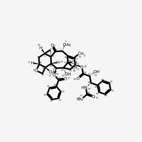 CC(=O)O[C@H]1C(=O)[C@]23C[C@H]2C[C@H]2OC[C@@]2(OC(C)=O)[C@H]3[C@H](OC(=O)c2ccccc2)[C@]2(O)C[C@H](OC(=O)[C@H](O)[C@@H](NC(=O)C(C)(C)C)c3ccccc3)C(C)=C1C2(C)C